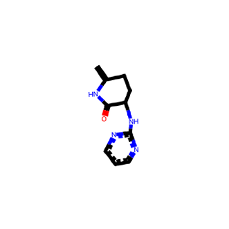 C=C1CCC(Nc2ncccn2)C(=O)N1